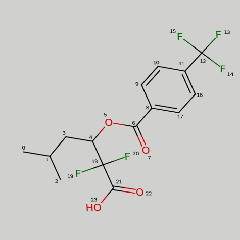 CC(C)CC(OC(=O)c1ccc(C(F)(F)F)cc1)C(F)(F)C(=O)O